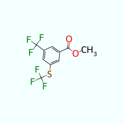 COC(=O)c1cc(SC(F)(F)F)cc(C(F)(F)F)c1